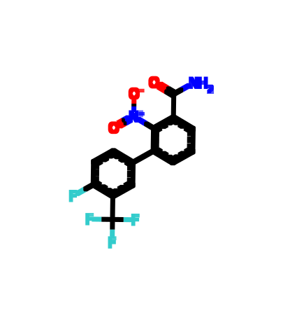 NC(=O)c1cccc(-c2ccc(F)c(C(F)(F)F)c2)c1[N+](=O)[O-]